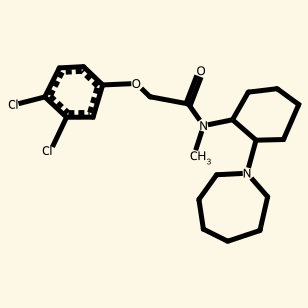 CN(C(=O)COc1ccc(Cl)c(Cl)c1)C1CCCCC1N1CCCCCC1